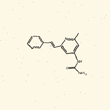 Cc1cc(NC(N)=O)cc(/C=C/c2ccccc2)n1